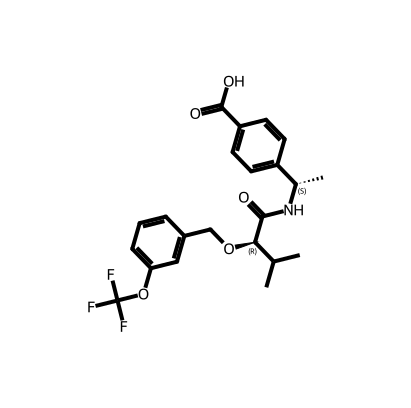 CC(C)[C@@H](OCc1cccc(OC(F)(F)F)c1)C(=O)N[C@@H](C)c1ccc(C(=O)O)cc1